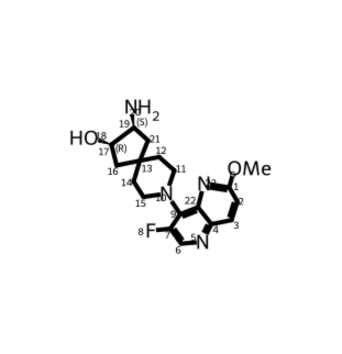 COc1ccc2ncc(F)c(N3CCC4(CC3)C[C@@H](O)[C@@H](N)C4)c2n1